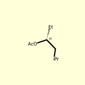 CC[C@H](CC(C)C)OC(C)=O